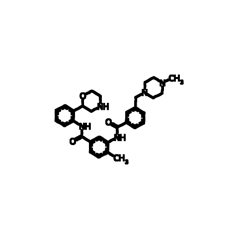 Cc1ccc(C(=O)Nc2ccccc2C2CNCCO2)cc1NC(=O)c1cccc(CN2CCN(C)CC2)c1